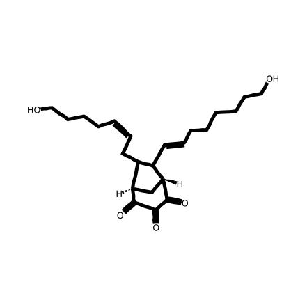 O=C1C(=O)[C@@H]2C[C@@H](C1=O)C(C/C=C\CCCCO)C2C=CCCCCCCO